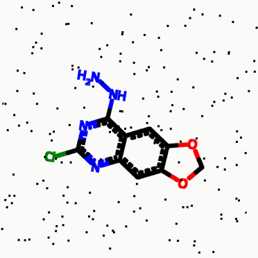 NNc1nc(Cl)nc2cc3c(cc12)OCO3